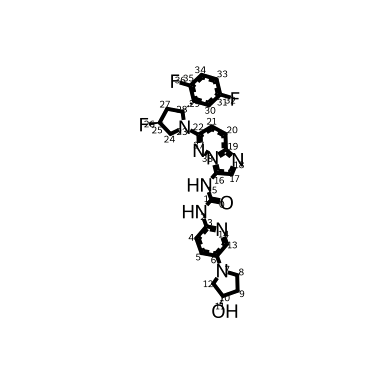 O=C(Nc1ccc(N2CC[C@H](O)C2)cn1)Nc1cnc2ccc(N3C[C@@H](F)C[C@@H]3c3cc(F)ccc3F)nn12